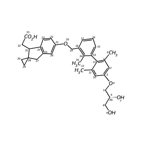 Cc1cc(OC[C@H](O)CO)cc(C)c1-c1cccc(COc2ccc3c(c2)CC2(CC2)C3CC(=O)O)c1C